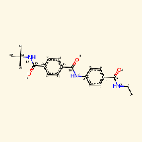 CCNC(=O)c1ccc(NC(=O)c2ccc(C(=O)NC(C)(C)C)cc2)cc1